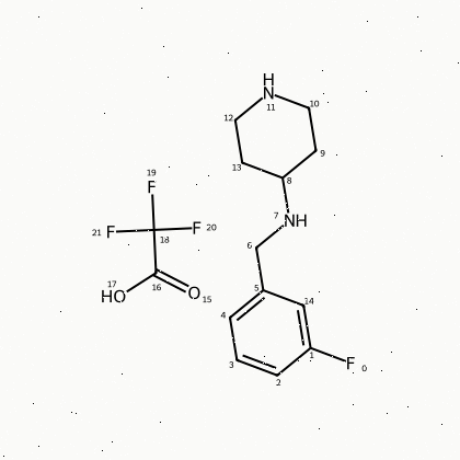 Fc1cccc(CNC2CCNCC2)c1.O=C(O)C(F)(F)F